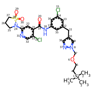 C[Si](C)(C)CCOCn1cc(Cc2cc(Cl)cc(NC(=O)c3cc(N4CCCS4(=O)=O)ncc3Cl)c2)cn1